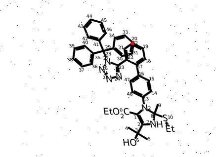 CCOC(=O)C1=C(C(C)(C)O)NC(C)(SCC)N1c1ccc(-c2ccccc2-c2nnnn2C(c2ccccc2)(c2ccccc2)c2ccccc2)cc1